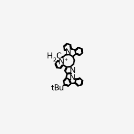 C=C1CCC(c2ccccc2-c2ccccn2)CCc2nc3c(cc2-c2cccc[n+]21)c1cc(C(C)(C)C)cc2c4ccccc4n3c21